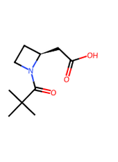 CC(C)(C)C(=O)N1CC[C@H]1CC(=O)O